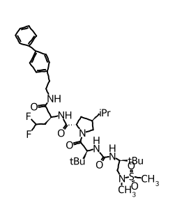 CC(C)[C@@H]1C[C@@H](C(=O)N[C@@H](CC(F)F)C(=O)NCCc2ccc(-c3ccccc3)cc2)N(C(=O)[C@@H](NC(=O)N[C@H](CN(C)S(C)(=O)=O)C(C)(C)C)C(C)(C)C)C1